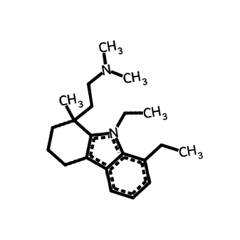 CCc1cccc2c3c(n(CC)c12)C(C)(CCN(C)C)CCC3